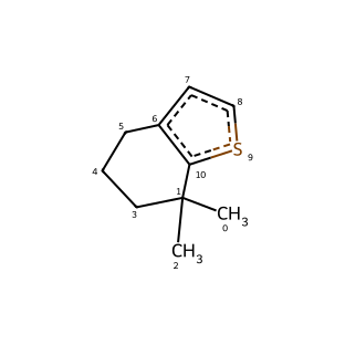 CC1(C)CCCc2ccsc21